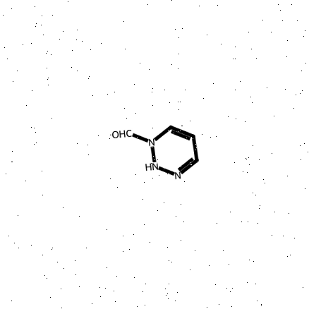 O=[C]N1C=CC=NN1